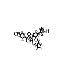 CN1CCCC1COc1cc(-c2cn[nH]c2)ccc1NC(=O)C(O)c1ccc(Cl)cc1